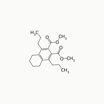 CCCc1c2c(c(CCC)c(C(=O)OC)c1C(=O)OC)CCCC2